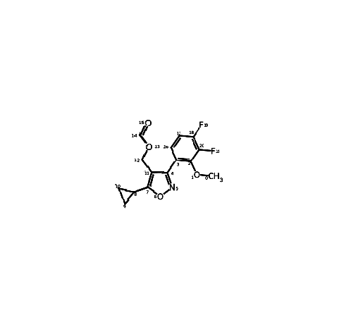 COc1c(-c2noc(C3CC3)c2COC=O)ccc(F)c1F